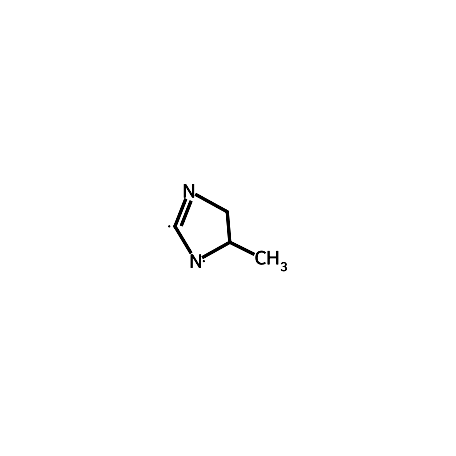 CC1CN=[C][N]1